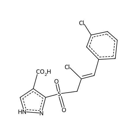 O=C(O)c1c[nH]nc1S(=O)(=O)CC(Cl)=Cc1cccc(Cl)c1